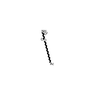 CC(=O)CCCCCCCCCCCCCCCOC(=O)CCC(=O)CN